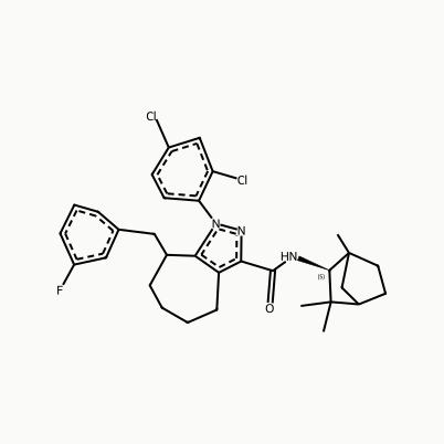 CC12CCC(C1)C(C)(C)[C@H]2NC(=O)c1nn(-c2ccc(Cl)cc2Cl)c2c1CCCCC2Cc1cccc(F)c1